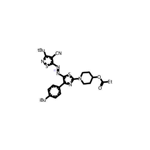 CCC(=O)OC1CCN(c2nc(-c3ccc(C(C)CC)cc3)c(/N=N/c3snc(C(C)(C)C)c3C#N)s2)CC1